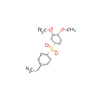 CCc1ccc(S(=O)(=O)c2ccc(OC)c(OC)c2)cc1